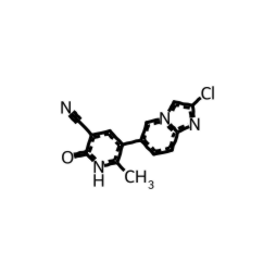 Cc1[nH]c(=O)c(C#N)cc1-c1ccc2nc(Cl)cn2c1